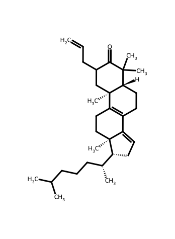 C=CCC1C[C@]2(C)C3=C(CC[C@H]2C(C)(C)C1=O)C1=CC[C@H]([C@H](C)CCCC(C)C)[C@@]1(C)CC3